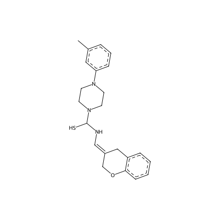 Cc1cccc(N2CCN(C(S)N/C=C3/COc4ccccc4C3)CC2)c1